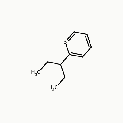 CCC(CC)c1bcccc1